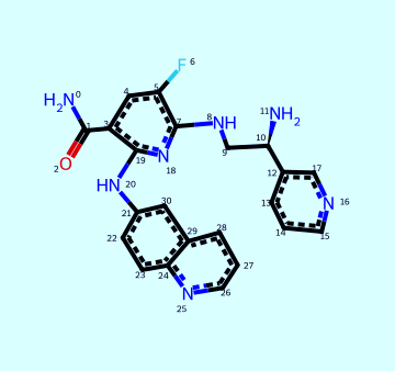 NC(=O)c1cc(F)c(NC[C@@H](N)c2cccnc2)nc1Nc1ccc2ncccc2c1